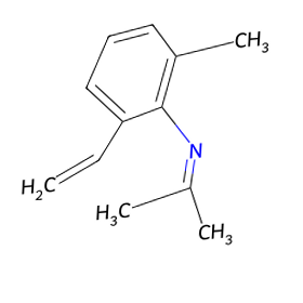 C=Cc1cccc(C)c1N=C(C)C